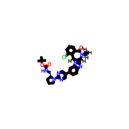 [2H]C([2H])([2H])N1C(=O)c2cccc(Cl)c2[C@H]2C[C@@H]1c1nc3ccc(-c4cnc(N5CCC[C@@H]5CNC(=O)OC(C)(C)C)nc4)cc3n12